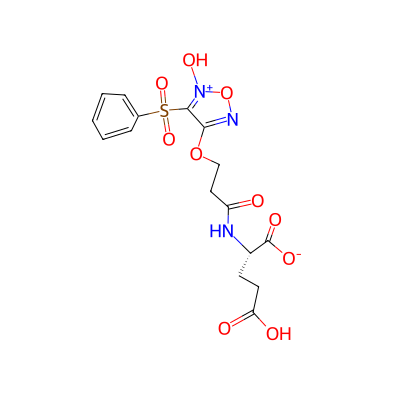 O=C(O)CC[C@H](NC(=O)CCOc1no[n+](O)c1S(=O)(=O)c1ccccc1)C(=O)[O-]